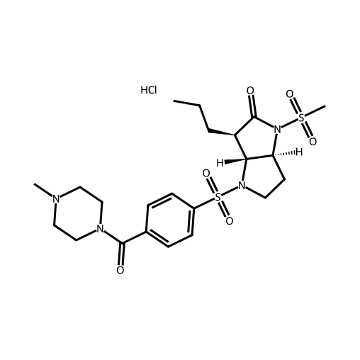 CCC[C@H]1C(=O)N(S(C)(=O)=O)[C@H]2CCN(S(=O)(=O)c3ccc(C(=O)N4CCN(C)CC4)cc3)[C@H]12.Cl